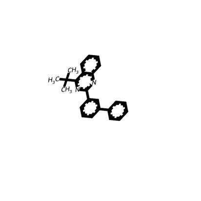 CC(C)(C)c1nc(-c2cccc(-c3ccccc3)c2)nc2ccccc12